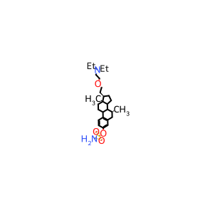 CCN(CC)CCOCC[C@H]1CCC2C3C(CC[C@@]21C)c1ccc(OS(N)(=O)=O)cc1C[C@H]3C